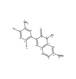 CCn1c(=O)c(-c2cc(N)c(F)cc2F)cc2cnc(NC)cc21